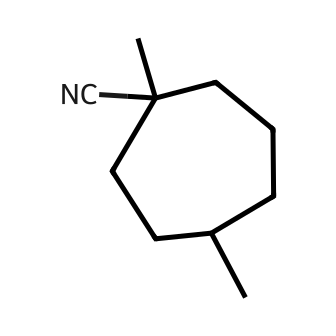 CC1CCCC(C)(C#N)CC1